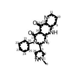 Cn1cc(-c2nc3[nH]c4cccnc4c(=O)c3c(=O)n2-c2ccccc2)cn1